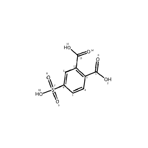 O=C(O)c1ccc(S(=O)(=O)O)cc1C(=O)O